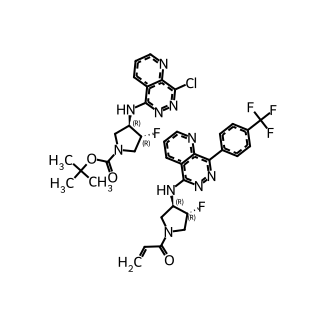 C=CC(=O)N1C[C@@H](F)[C@H](Nc2nnc(-c3ccc(C(F)(F)F)cc3)c3ncccc23)C1.CC(C)(C)OC(=O)N1C[C@@H](F)[C@H](Nc2nnc(Cl)c3ncccc23)C1